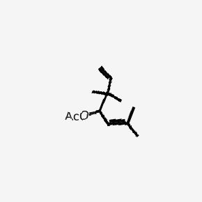 C=CC(C)(C)C(C=C(C)C)OC(C)=O